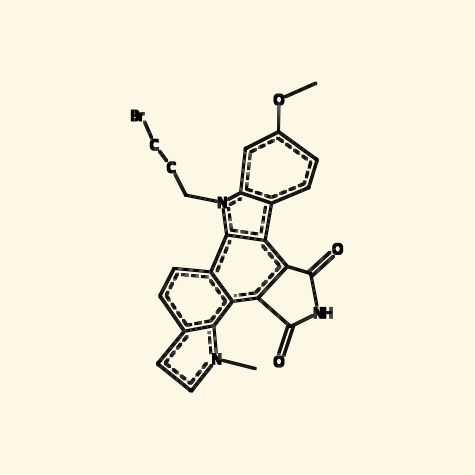 COc1ccc2c3c4c(c5c(ccc6ccn(C)c65)c3n(CCCBr)c2c1)C(=O)NC4=O